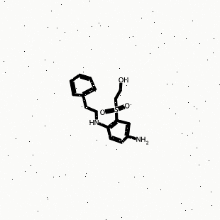 Nc1ccc(NCCc2ccccc2)c(S(=O)(=O)CCO)c1